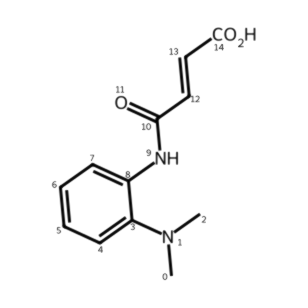 CN(C)c1ccccc1NC(=O)/C=C/C(=O)O